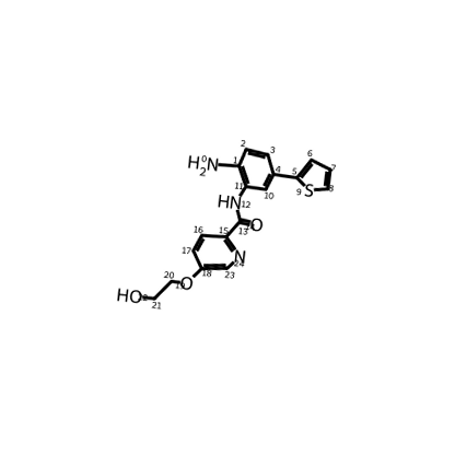 Nc1ccc(-c2cccs2)cc1NC(=O)c1ccc(OCCO)cn1